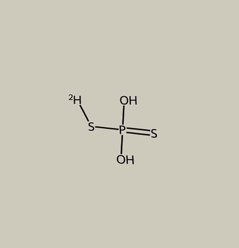 [2H]SP(O)(O)=S